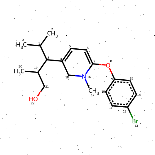 CC(C)C(C1=CC=C(Oc2ccc(Br)cc2)N(C)C1)C(C)CO